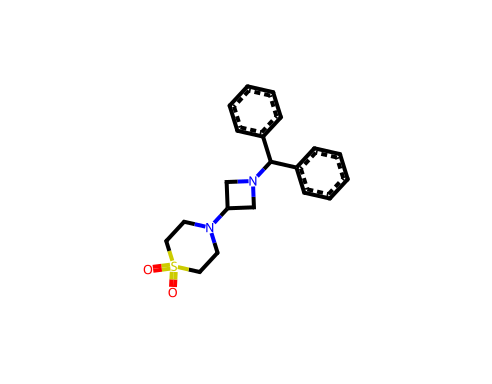 O=S1(=O)CCN(C2CN(C(c3ccccc3)c3ccccc3)C2)CC1